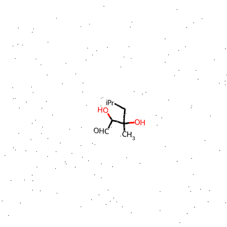 CC(C)CC(C)(O)C(O)C=O